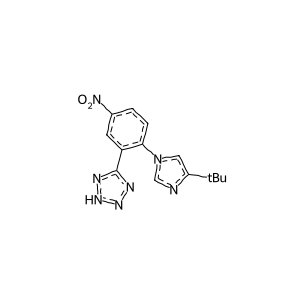 CC(C)(C)c1cn(-c2ccc([N+](=O)[O-])cc2-c2nn[nH]n2)cn1